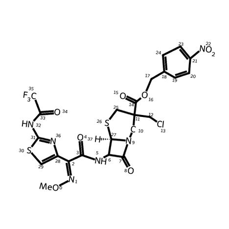 CON=C(C(=O)NC1C(=O)N2CC(CCl)(C(=O)OCc3ccc([N+](=O)[O-])cc3)CS[C@H]12)c1csc(NC(=O)C(F)(F)F)n1